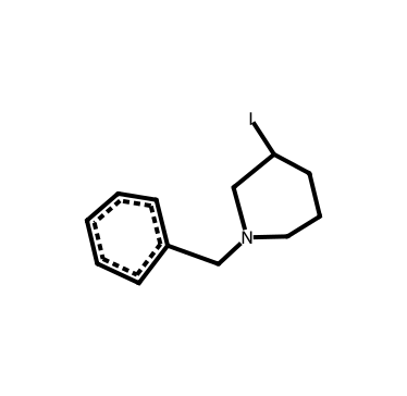 IC1CCCN(Cc2ccccc2)C1